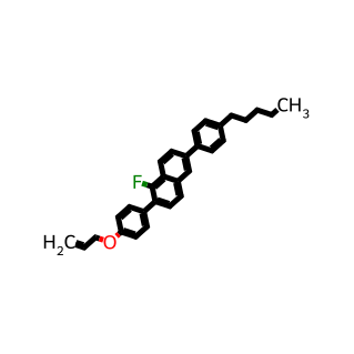 C=CCOc1ccc(-c2ccc3cc(-c4ccc(CCCCC)cc4)ccc3c2F)cc1